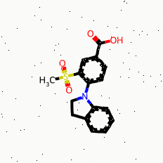 CS(=O)(=O)c1cc(C(=O)O)ccc1N1CCc2ccccc21